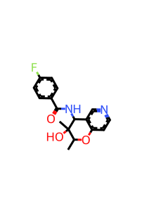 CC1Oc2ccncc2C(NC(=O)c2ccc(F)cc2)C1(C)O